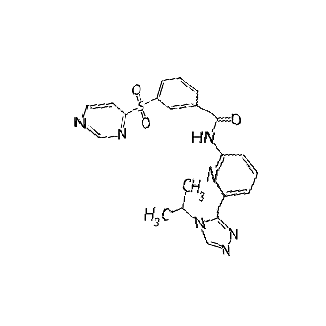 CC(C)n1cnnc1-c1cccc(NC(=O)c2cccc(S(=O)(=O)c3ccncn3)c2)n1